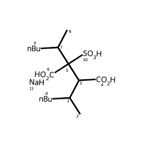 CCCCC(C)C(C(=O)O)C(C(=O)O)(C(C)CCCC)S(=O)(=O)O.[NaH]